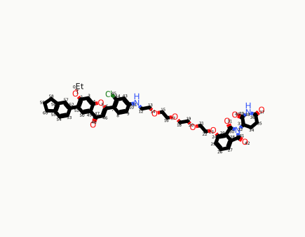 CCOc1cc2oc(-c3ccc(NCCOCCOCCOCCOc4cccc5c4C(=O)N(C4CCC(=O)NC4=O)C5=O)cc3Cl)cc(=O)c2cc1-c1ccc2c(c1)CCC2